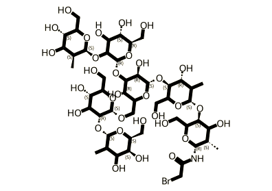 CC1C(O)[C@H](O)[C@H](CO)O[C@H]1O[C@@H]1C(O)[C@H](O)C(CO)O[C@@H]1OCC1O[C@@H](O[C@@H]2C(CO)O[C@@H](O[C@@H]3C(CO)O[C@@H](NC(=O)CBr)[C@@H](C)C3O)C(C)[C@H]2O)[C@H](O)C(O[C@H]2O[C@H](CO)[C@@H](O)C(O)C2O[C@@H]2OC(CO)[C@@H](O)C(O)[C@@H]2C)[C@@H]1O